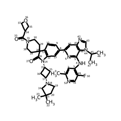 Cc1cc(Nc2nc(-c3ccc4c(c3)N([C@H]3C[C@@H](N5CCC(C)(C)C5)C3)C(=O)C43CCN(C(=O)C4COC4)CC3)cc3ncn(C(C)C)c23)c(F)cn1